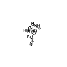 O=C(Nc1cncc(-c2ccc3[nH]nc(-c4cc5c(-c6cc(F)cc(OCCN7CCCC7)c6)ccnc5[nH]4)c3n2)c1)c1ccccc1